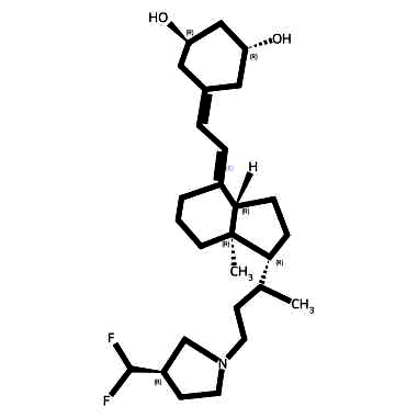 CC(CCN1CC[C@@H](C(F)F)C1)[C@H]1CC[C@H]2/C(=C/C=C3C[C@@H](O)C[C@H](O)C3)CCC[C@]12C